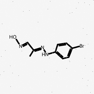 CC(/C=N/O)=N\Nc1ccc(Br)cc1